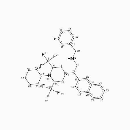 FC(F)(F)C1CN(C(CNCc2ccccc2)c2ccc3ccccc3c2)CC(C(F)(F)F)N1C1CCCCC1